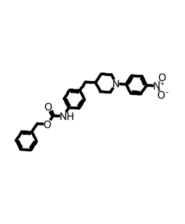 O=C(Nc1ccc(CC2CCN(c3ccc([N+](=O)[O-])cc3)CC2)cc1)OCc1ccccc1